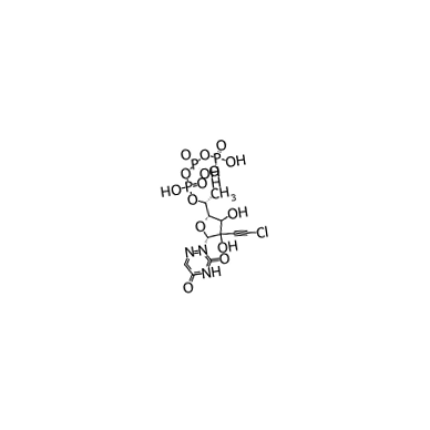 C[C@@H](OP(=O)(O)OP(=O)(O)OP(=O)(O)O)[C@H]1O[C@@H](n2ncc(=O)[nH]c2=O)C(O)(C#CCl)C1O